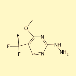 COc1nc(NN)ncc1C(F)(F)F